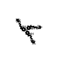 CC(C)(C)[Si](C)(C)OCCCc1cc2cc[c]([Bi]([c]3ccc4cc(CCCO[Si](C)(C)C(C)(C)C)[nH]c4c3)[c]3ccc4cc(CCCO[Si](C)(C)C(C)(C)C)[nH]c4c3)cc2[nH]1